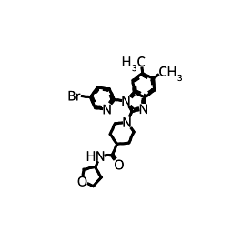 Cc1cc2nc(N3CCC(C(=O)NC4CCOC4)CC3)n(-c3ccc(Br)cn3)c2cc1C